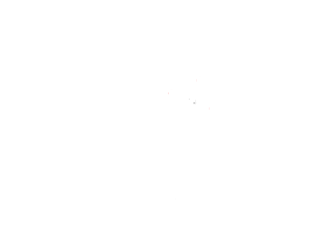 CCO[Si](OCC)(OCC)C(CCc1ccccc1)Cc1ccccc1